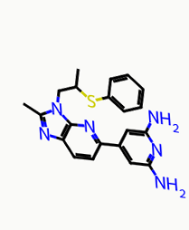 Cc1nc2ccc(-c3cc(N)nc(N)c3)nc2n1CC(C)Sc1ccccc1